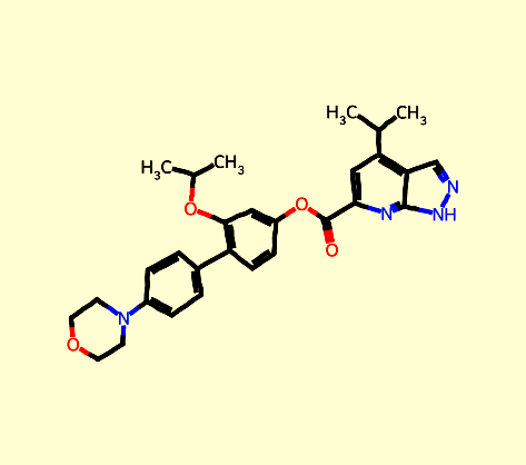 CC(C)Oc1cc(OC(=O)c2cc(C(C)C)c3cn[nH]c3n2)ccc1-c1ccc(N2CCOCC2)cc1